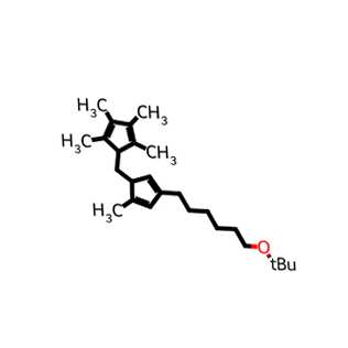 CC1=CC(CCCCCCOC(C)(C)C)=CC1CC1C(C)=C(C)C(C)=C1C